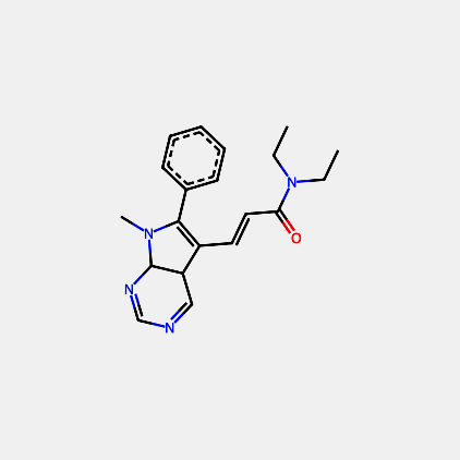 CCN(CC)C(=O)/C=C/C1=C(c2ccccc2)N(C)C2N=CN=CC12